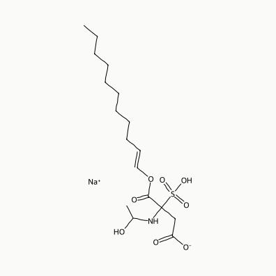 CCCCCCCCCC=COC(=O)C(CC(=O)[O-])(NC(C)O)S(=O)(=O)O.[Na+]